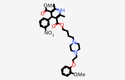 COC(=O)C1=C(C)NC(C)=C(C(=O)OCCCCN2CCN(CCOc3ccccc3OC)CC2)C1c1cccc([N+](=O)[O-])c1